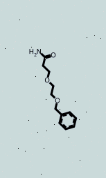 NC(=O)CCOCCOCc1ccccc1